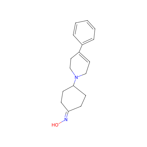 ON=C1CCC(N2CC=C(c3ccccc3)CC2)CC1